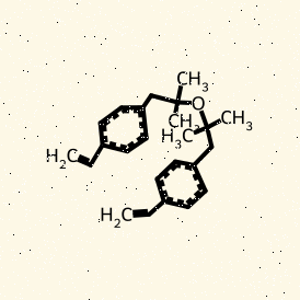 C=Cc1ccc(CC(C)(C)OC(C)(C)Cc2ccc(C=C)cc2)cc1